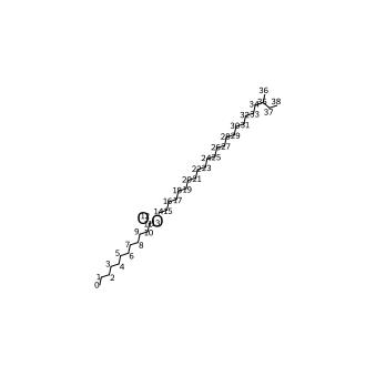 CCCCCCCCCCCC(=O)OCCCCCCCCCCCCCCCCCCCCCC(C)CC